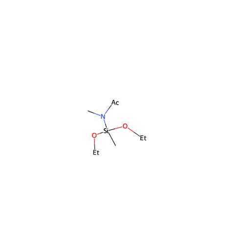 CCO[Si](C)(OCC)N(C)C(C)=O